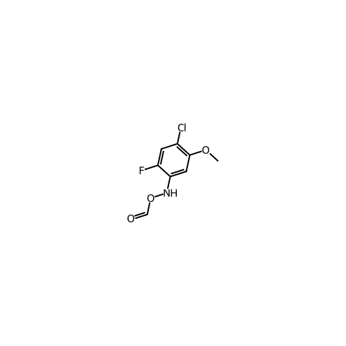 COc1cc(NOC=O)c(F)cc1Cl